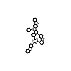 c1ccc(-c2nc(-c3ccc4c(c3)Cc3ccccc3-4)nc(-c3cccc4oc5ccc(-c6ccc7c(c6)c6cc8sc9ccccc9c8cc6n7-c6ccccc6)cc5c34)n2)cc1